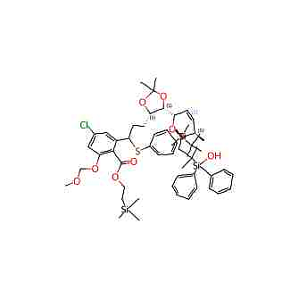 COCOc1cc(Cl)cc(C(CC[C@@H]2OC(C)(C)O[C@@H]2C(/C=C\[C@@H](C)[C@H](C)CC(C)(C)[Si](O)(c2ccccc2)c2ccccc2)O[Si](C)(C)C(C)(C)C)Sc2ccccc2)c1C(=O)OCC[Si](C)(C)C